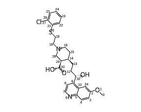 COc1ccc2nccc([C@@H](O)CC[C@@H]3CCN(CCSc4ccccc4Cl)C[C@@H]3C(=O)O)c2c1